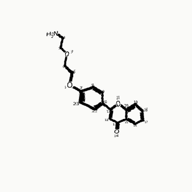 NCCOCCOc1ccc(-c2cc(=O)c3ccccc3o2)cc1